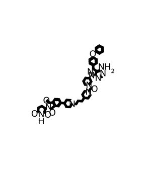 Nc1ncnc2c1c(-c1ccc(Oc3ccccc3)cc1)nn2[C@@H]1CCCN(C(=O)N2CCC(CCCN3CCC(c4ccc5c(c4)C(=O)N(C4CCC(=O)NC4=O)C5=O)CC3)CC2)C1